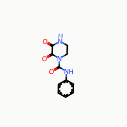 O=C1NCCN(C(=O)Nc2ccccc2)C1=O